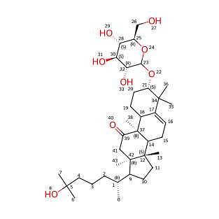 C[C@H](CCCC(C)(C)O)C1CC[C@@]2(C)C3CC=C4C(CC[C@H](OC5O[C@H](CO)[C@@H](O)[C@H](O)[C@H]5O)C4(C)C)[C@]3(C)C(=O)C[C@]12C